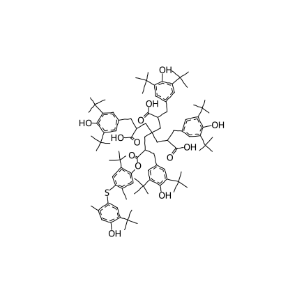 Cc1cc(O)c(C(C)(C)C)cc1Sc1cc(C(C)(C)C)c(OC(=O)C(Cc2cc(C(C)(C)C)c(O)c(C(C)(C)C)c2)CC(CC(Cc2cc(C(C)(C)C)c(O)c(C(C)(C)C)c2)C(=O)O)(CC(Cc2cc(C(C)(C)C)c(O)c(C(C)(C)C)c2)C(=O)O)CC(Cc2cc(C(C)(C)C)c(O)c(C(C)(C)C)c2)C(=O)O)cc1C